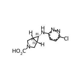 O=C(O)N1C[C@@H]2[C@H](C1)[C@@H]2Nc1ccc(Cl)nn1